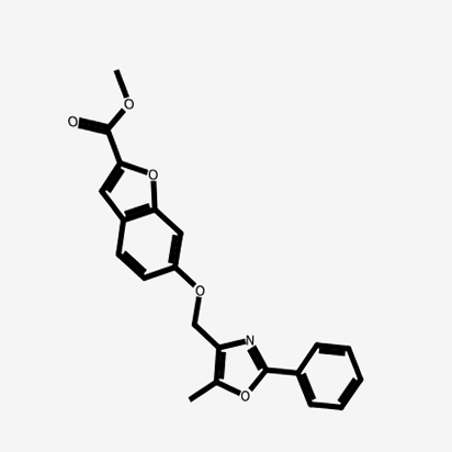 COC(=O)c1cc2ccc(OCc3nc(-c4ccccc4)oc3C)cc2o1